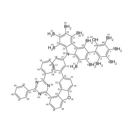 Bc1c(B)c(B)c(-c2c(B)c(B)c3c(c2B)c2c(B)c(B)c(B)c(B)c2n3-c2cccc(-c3ccc4oc5cccc(-c6nc(-c7ccccc7)nc(-c7ccccc7)n6)c5c4c3)c2)c(O)c1B